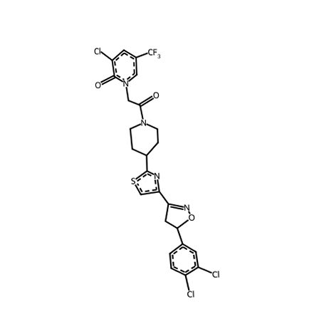 O=C(Cn1cc(C(F)(F)F)cc(Cl)c1=O)N1CCC(c2nc(C3=NOC(c4ccc(Cl)c(Cl)c4)C3)cs2)CC1